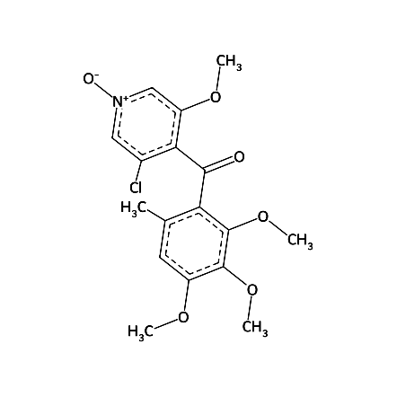 COc1cc(C)c(C(=O)c2c(Cl)c[n+]([O-])cc2OC)c(OC)c1OC